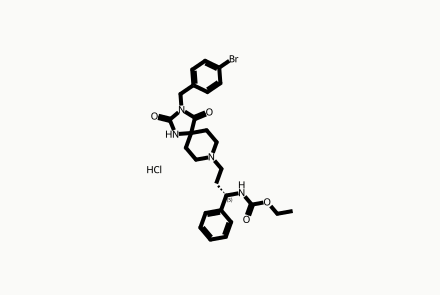 CCOC(=O)N[C@@H](CCN1CCC2(CC1)NC(=O)N(Cc1ccc(Br)cc1)C2=O)c1ccccc1.Cl